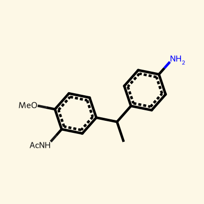 COc1ccc(C(C)c2ccc(N)cc2)cc1NC(C)=O